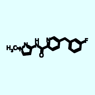 Cn1ccc(NC(=O)c2ccc(Cc3cccc(F)c3)cn2)n1